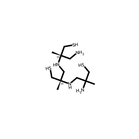 CC(N)(CS)CN[C@](C)(CS)CN[C@@](C)(CN)CS